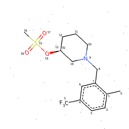 Cc1ccc(C(F)(F)F)cc1CN1CCC[C@H](OS(C)(=O)=O)C1